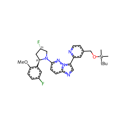 COc1ccc(F)cc1[C@H]1C[C@H](F)CN1c1ccc2ncc(-c3cc(CO[Si](C)(C)C(C)(C)C)ccn3)n2n1